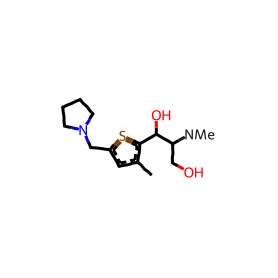 CNC(CO)C(O)c1sc(CN2CCCC2)cc1C